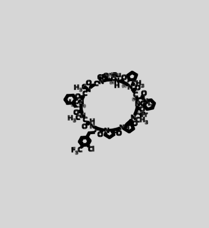 CC[C@H](C)[C@@H]1NC(=O)[C@H](C2CCCC2)N(C)C(=O)C[C@@H](C(=O)N2CCCCC2)N(C)C(=O)[C@H](C(C)C)N(C)C(=O)C2(CCCC2)NC(=O)[C@@H]2CCCN2C(=O)[C@H](CCc2ccc(C(F)(F)F)c(Cl)c2)NC(=O)CN(C)C(=O)[C@H](CC2CCCCC2)N(C)C(=O)CN(C)C(=O)CN(C)C1=O